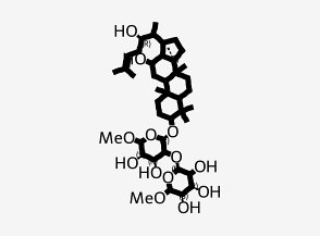 COC1O[C@@H](OC2[C@H](OC3CCC4(C)C(CCC5(C)C4CC(O)C4C(C(C)[C@H](O)CC=C(C)C)CC[C@]45C)C3(C)C)OC(OC)[C@@H](O)[C@H]2O)C(O)[C@H](O)[C@@H]1O